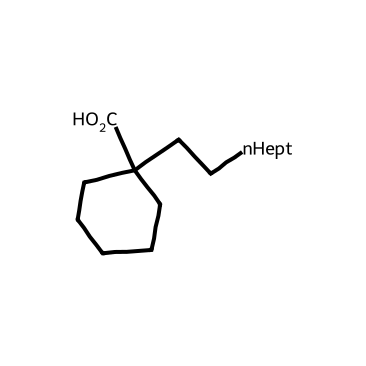 CCCCCCCCCC1(C(=O)O)CCCCC1